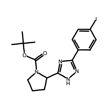 CC(C)(C)OC(=O)N1CCCC1c1nc(-c2ccc(I)cc2)n[nH]1